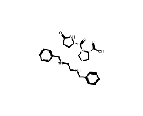 O=C1CC[C@@H](C(=O)N2CSC[C@H]2C(=O)O)N1.c1ccc(CNCCNCc2ccccc2)cc1